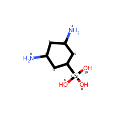 NC1CC(N)CC([Si](O)(O)O)C1